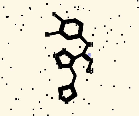 O/N=C(/Nc1ccc(F)c(Br)c1)c1nonc1Cn1cnnc1